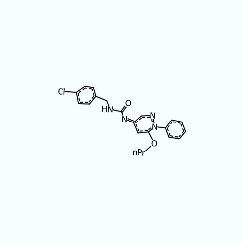 CCCOc1c/c(=N/C(=O)NCc2ccc(Cl)cc2)cnn1-c1ccccc1